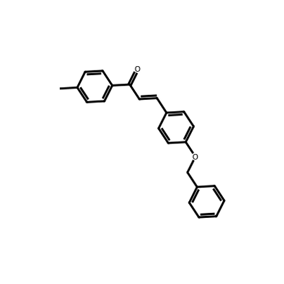 Cc1ccc(C(=O)/C=C/c2ccc(OCc3ccccc3)cc2)cc1